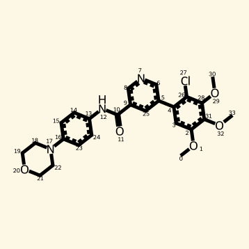 COc1cc(-c2cncc(C(=O)Nc3ccc(N4CCOCC4)cc3)c2)c(Cl)c(OC)c1OC